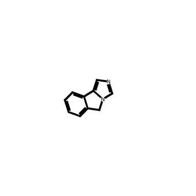 c1ccc2c(c1)Cn1cncc1-2